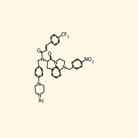 CC(=O)N1CCN(c2ccc(CN(C(=O)C=Cc3ccc(C(F)(F)F)cc3)C(Cc3ccccc3)C(=O)N3CCN(Cc4ccc([N+](=O)[O-])cc4)CC3)cc2)CC1